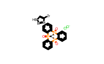 O=P(c1ccccc1)(c1ccccc1)[C-](P(=O)(c1ccccc1)c1ccccc1)P(=O)(c1ccccc1)c1ccccc1.[Cl-].[Cl-].[Zr][C]1=[CH][BiH][Bi]=[Bi]1